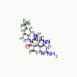 Cn1ncc2c(N)nc3cc(F)c(C(=O)N(c4cscn4)C4CCc5cc(C(F)(F)F)ccc54)cc3c21